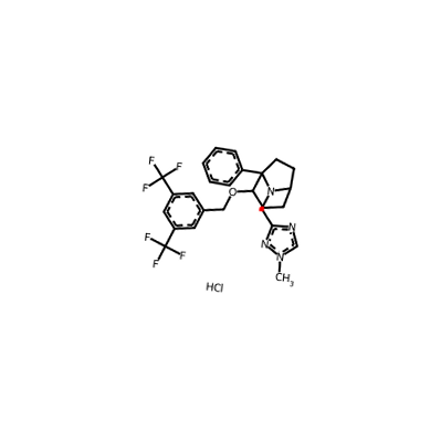 Cl.Cn1cnc(CN2C3CCC(OCc4cc(C(F)(F)F)cc(C(F)(F)F)c4)C2(c2ccccc2)CC3)n1